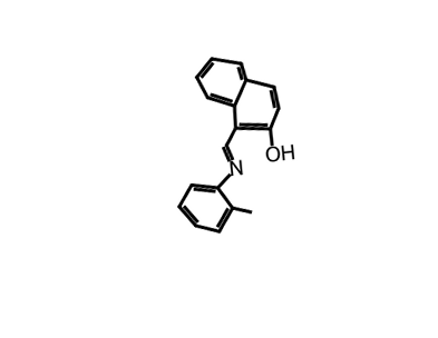 Cc1ccccc1N=Cc1c(O)ccc2ccccc12